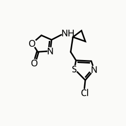 O=C1N=C(NC2(Cc3cnc(Cl)s3)CC2)CO1